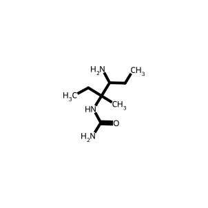 CCC(N)C(C)(CC)NC(N)=O